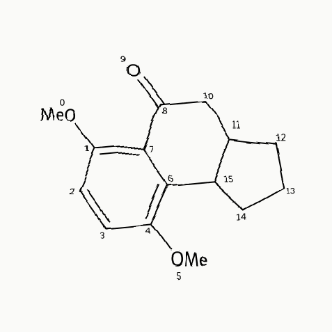 COc1ccc(OC)c2c1C(=O)CC1CCCC21